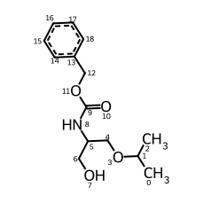 CC(C)OCC(CO)NC(=O)OCc1ccccc1